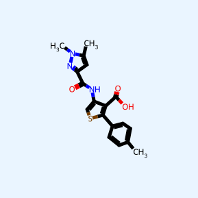 Cc1ccc(-c2scc(NC(=O)c3cc(C)n(C)n3)c2C(=O)O)cc1